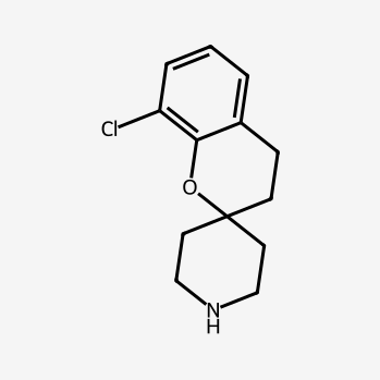 Clc1cccc2c1OC1(CCNCC1)CC2